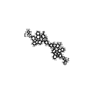 CCC1(COc2ccc(C3(c4ccc5ccccc5c4)c4ccccc4-c4ccc(N(c5ccc(-c6ccc(N(c7ccc8c(c7)C(c7ccc(OCC9(CC)COC9)cc7)(c7ccc9ccccc9c7)c7ccccc7-8)c7ccc(F)cc7F)cc6)cc5)c5ccc(F)cc5F)cc43)cc2)CCC1